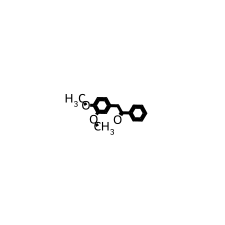 COc1ccc(CC(=O)c2ccccc2)cc1OC